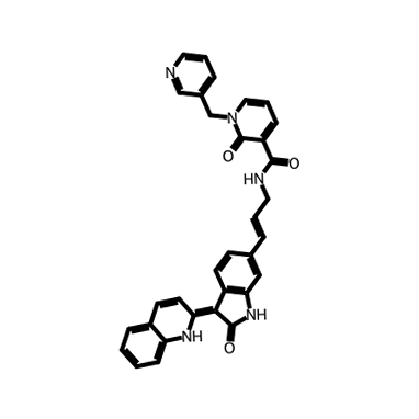 O=C1Nc2cc(/C=C/CNC(=O)c3cccn(Cc4cccnc4)c3=O)ccc2/C1=C1\C=Cc2ccccc2N1